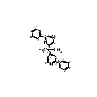 C[Si](C)(c1cncc(-c2ccccc2)n1)c1ccnc(-c2ccccc2)n1